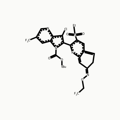 CCS(=O)(=O)c1cc2c(nc1-c1c(Cl)c3ncc(C(F)(F)F)cc3n1C(=O)OC(C)(C)C)=CC(=NOCC(F)(F)F)CC=2